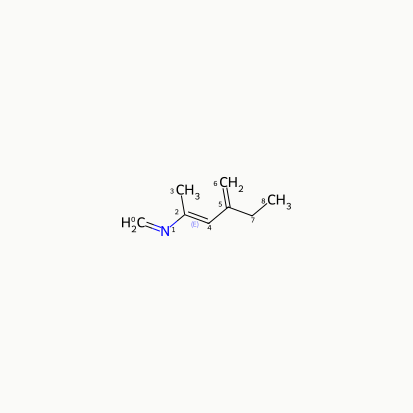 C=N/C(C)=C/C(=C)CC